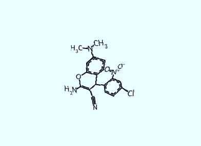 CN(C)c1ccc2c(c1)OC(N)=C(C#N)C2c1ccc(Cl)cc1[N+](=O)[O-]